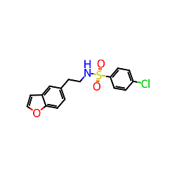 O=S(=O)(NCCc1ccc2occc2c1)c1ccc(Cl)cc1